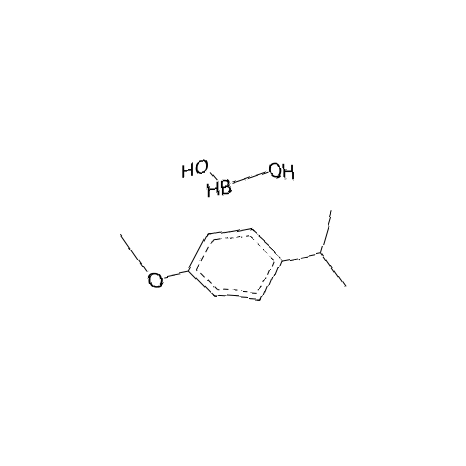 COc1ccc(C(C)C)cc1.OBO